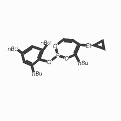 C1CC1.CCCCc1cc(CCCC)c(Op2occc(CC)c(CCCC)o2)c(CCCC)c1